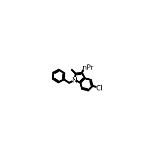 CCCc1c(C)n(Cc2ccccc2)c2ccc(Cl)cc12